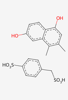 Cc1cc(O)c2ccc(O)cc2c1C.O=S(=O)(O)Cc1ccc(S(=O)(=O)O)cc1